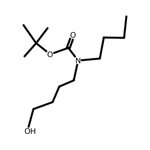 CCCCN(CCCCO)C(=O)OC(C)(C)C